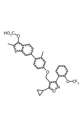 Cc1cc(OCc2c(-c3ccccc3OC(F)(F)F)noc2C2CC2)ccc1-c1ccc2c(OC(=O)O)c(C)sc2c1